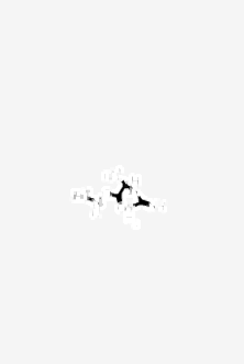 CCCC(NC(=N)N)C(=O)ONC(C)CC